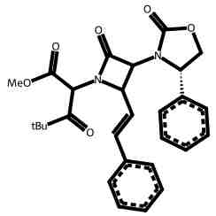 COC(=O)C(C(=O)C(C)(C)C)N1C(=O)C(N2C(=O)OC[C@@H]2c2ccccc2)C1C=Cc1ccccc1